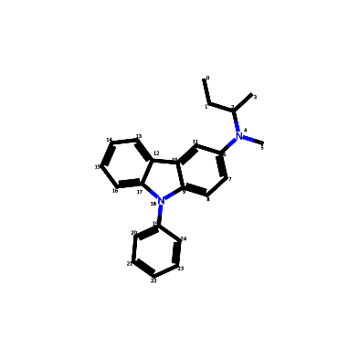 CCC(C)N(C)c1ccc2c(c1)c1ccccc1n2-c1ccccc1